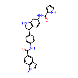 Cn1ccc2cc(C(=O)Nc3ccc(C4CNc5cc(NC(=O)c6ccc[nH]6)ccc54)cc3)ccc21